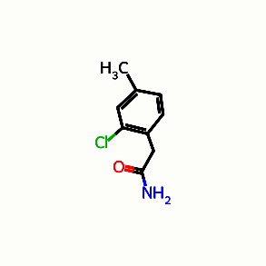 Cc1ccc(CC(N)=O)c(Cl)c1